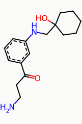 NCCC(=O)c1cccc(NCC2(O)CCCCC2)c1